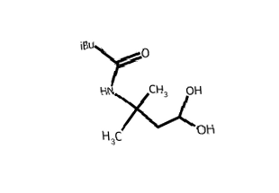 CCC(C)C(=O)NC(C)(C)CC(O)O